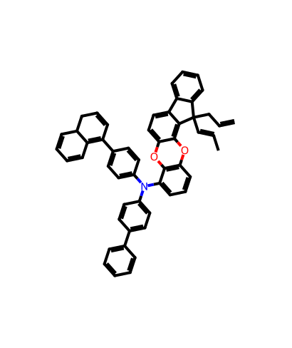 C=CCC1(/C=C/C)c2ccccc2-c2ccc3c(c21)Oc1cccc(N(c2ccc(C4=C5C=CC=CC5CC=C4)cc2)c2ccc(-c4ccccc4)cc2)c1O3